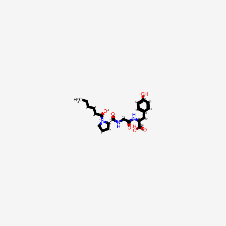 CCCCCC(=O)N1CCC[C@H]1C(=O)NCC(=O)NC(Cc1ccc(O)cc1)C(=O)O